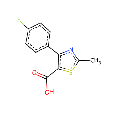 Cc1nc(-c2ccc(F)cc2)c(C(=O)O)s1